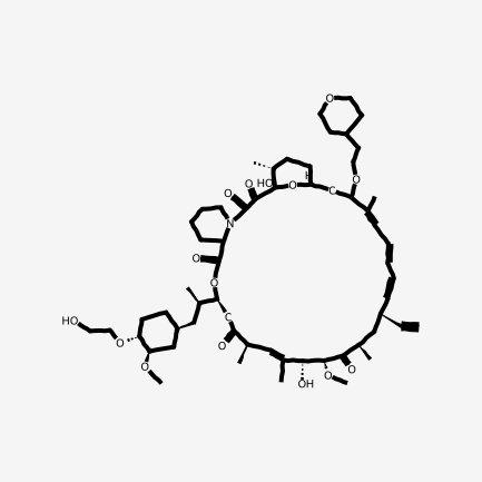 C#C[C@@H]1/C=C/C=C/C=C(\C)C(OCCC2CCOCC2)C[C@@H]2CC[C@@H](C)[C@@](O)(O2)C(=O)C(=O)N2CCCCC2C(=O)O[C@H]([C@H](C)C[C@@H]2CC[C@@H](OCCO)[C@H](OC)C2)CC(=O)[C@H](C)/C=C(\C)[C@@H](O)[C@@H](OC)C(=O)[C@H](C)C1